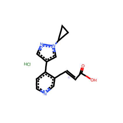 Cl.O=C(O)/C=C/c1cnccc1-c1cnn(C2CC2)c1